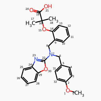 COc1ccc(CN(Cc2ccccc2OC(C)(C)C(=O)O)c2nc3ccccc3o2)cc1